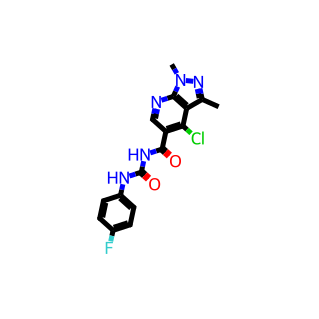 Cc1nn(C)c2ncc(C(=O)NC(=O)Nc3ccc(F)cc3)c(Cl)c12